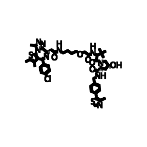 Cc1ncsc1-c1ccc(CNC(=O)[C@@H]2C[C@@H](O)CN2C(=O)C(NC(=O)COCCCCNC(=O)C[C@@H]2N=C(c3ccc(Cl)cc3)c3c(sc(C)c3C)-n3c(C)nnc32)C(C)(C)C)cc1